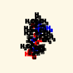 CC[C@H](C)[C@@H]([C@@H](CC(=O)N1CCCC1[C@H](OC)[C@@H](C)C(=O)NC(Cc1ccccc1)C(=O)O)OC)N(C)C(=O)C(NC(=O)C(C(C)C)N(C)CCN)C(C)C